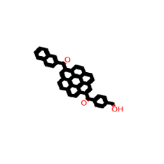 O=C(c1ccc(CO)cc1)c1cc2ccc3ccc4c(C(=O)c5ccc6ccccc6c5)cc5ccc6ccc1c1c6c5c4c3c21